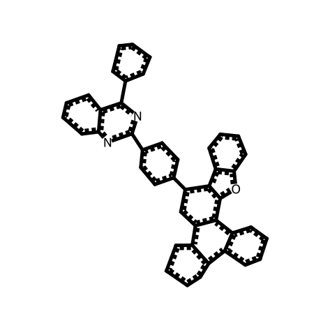 c1ccc(-c2nc(-c3ccc(-c4cc5c6ccccc6c6ccccc6c5c5oc6ccccc6c45)cc3)nc3ccccc23)cc1